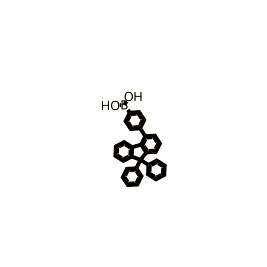 OB(O)c1ccc(-c2cccc3c2-c2ccccc2C3(c2ccccc2)c2ccccc2)cc1